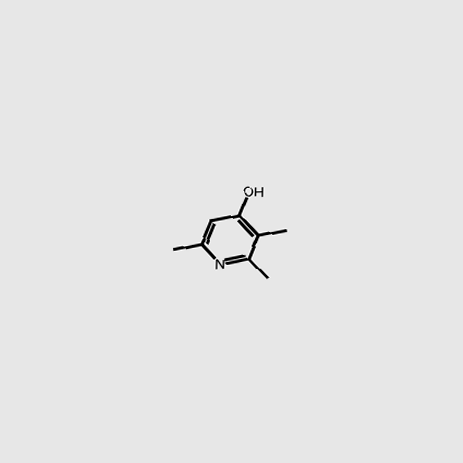 Cc1cc(O)c(C)c(C)n1